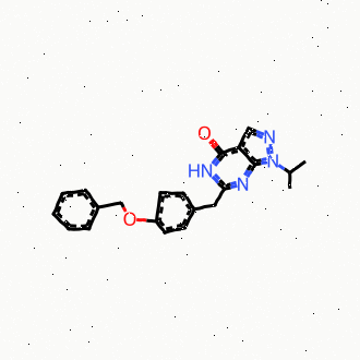 CC(C)n1ncc2c(=O)[nH]c(Cc3ccc(OCc4ccccc4)cc3)nc21